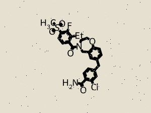 CCc1c(C(=O)N2CCOc3ccc(Cc4ccc(C(N)=O)c(Cl)c4)cc3C2)ccc(S(C)(=O)=O)c1F